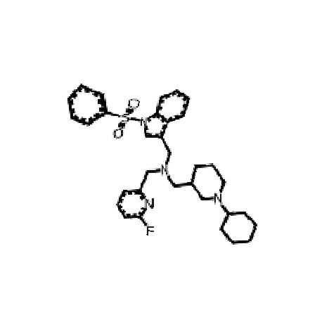 O=S(=O)(c1ccccc1)n1cc(CN(Cc2cccc(F)n2)CC2CCCN(C3CCCCC3)C2)c2ccccc21